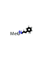 CON=CC=Cc1ccccc1